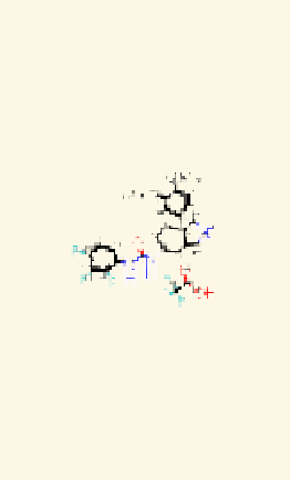 COc1ccc([C@@]23CC[C@@H](NC(=O)Nc4ccc(F)c(F)c4F)C[C@@H]2CN(C)C3)cc1OC.O=C(O)C(F)(F)F